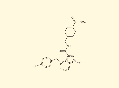 CCn1cc(C(=O)NCC2CCC(C(=O)OC)CC2)c2c(Cc3ccc(C(F)(F)F)cc3)cccc21